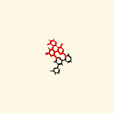 Fc1c(Cl)cc(-c2c(Cl)c(-c3cc(Cl)cc(C(F)(F)F)c3)[c]c(-c3cc(Cl)c(Cl)c(Cl)c3-c3cc(C(F)(F)F)cc(C(F)(F)F)c3-c3cccc(C(F)(F)F)c3-c3cc(Cl)nc(Cl)c3-c3cc(C(F)(F)F)nc(C(F)(F)F)c3-c3cc(Cl)c(Br)c(Cl)c3-c3cc(C(F)(F)F)cc(Br)c3-c3cc(Br)cc(Br)c3)c2Br)cc1Cl